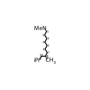 CNCCCCCCCC(C)CC(C)C